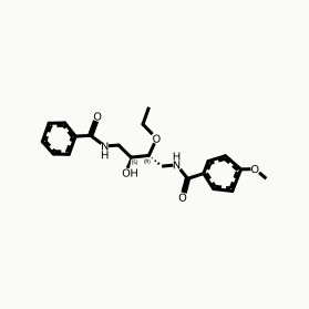 CCO[C@H](CNC(=O)c1ccc(OC)cc1)[C@@H](O)CNC(=O)c1ccccc1